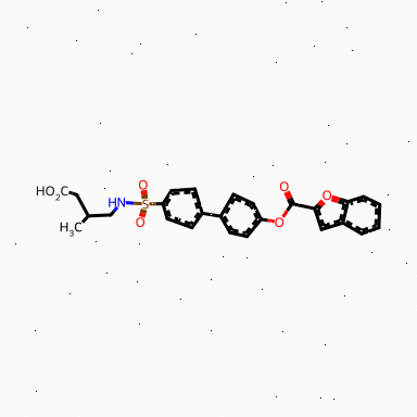 CC(CNS(=O)(=O)c1ccc(-c2ccc(OC(=O)c3cc4ccccc4o3)cc2)cc1)CC(=O)O